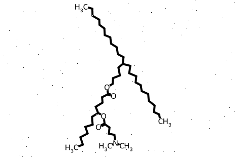 CCCCCCCCCCCCC(CCCCCCCCCCCC)CCCCOC(=O)CCCC(CCCCCCC)OC(=O)CCCN(C)C